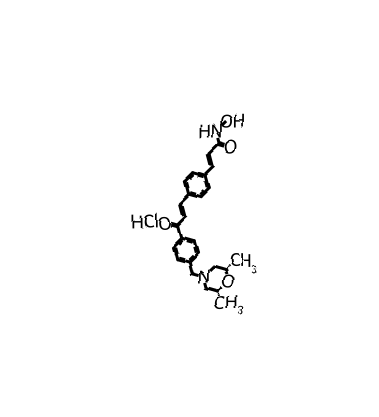 C[C@@H]1CN(Cc2ccc(C(=O)/C=C/c3ccc(/C=C/C(=O)NO)cc3)cc2)C[C@H](C)O1.Cl